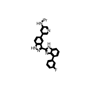 CC(C)Nc1cncc(-c2ccc3[nH]nc(-c4nc5c(-c6cccc(F)c6)cccc5[nH]4)c3c2)c1